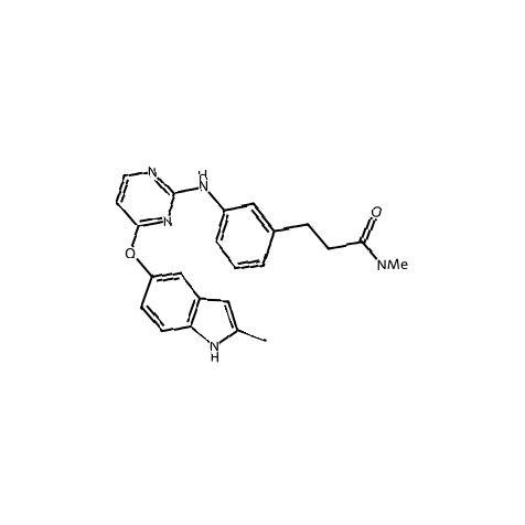 CNC(=O)CCc1cccc(Nc2nccc(Oc3ccc4[nH]c(C)cc4c3)n2)c1